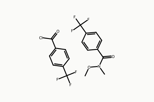 CON(C)C(=O)c1ccc(C(F)(F)F)cc1.O=C(Cl)c1ccc(C(F)(F)F)cc1